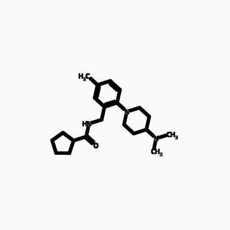 Cc1ccc(N2CCC(N(C)C)CC2)c(CNC(=O)C2CCCC2)c1